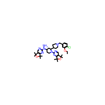 CCOc1cc(CN2CCC(C3CC(N(N)c4ncc5c(n4)C(C)(C)OC5(C)C)CCN3c3ncc4c(n3)C(C)(C)OC4(C)C)CC2)ccc1Cl